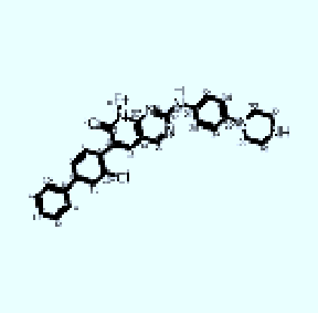 CCn1c(=O)c(-c2ccc(-c3ccccc3)cc2Cl)cc2cnc(Nc3ccc(N4CCNCC4)cc3)nc21